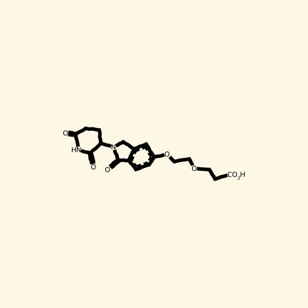 O=C(O)CCOCCOc1ccc2c(c1)CN(C1CCC(=O)NC1=O)C2=O